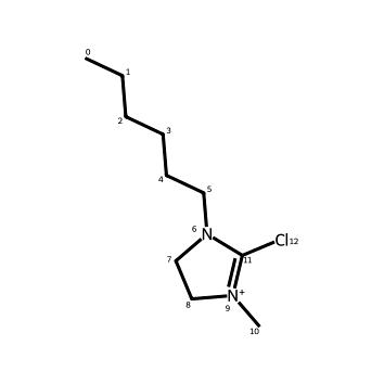 CCCCCCN1CC[N+](C)=C1Cl